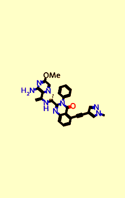 C=C(N[C@H](C)c1nc2cccc(C#Cc3cnn(C)c3)c2c(=O)n1-c1ccccc1)c1ncc(OC)nc1N